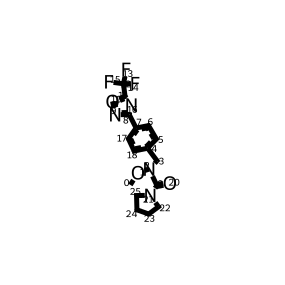 CON(Cc1ccc(-c2noc(C(F)(F)F)n2)cc1)C(=O)N1CCCC1